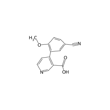 COc1ccc(C#N)cc1-c1ccncc1C(=O)O